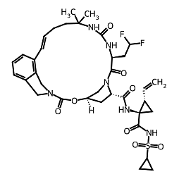 C=C[C@@H]1C[C@]1(NC(=O)[C@@H]1C[C@@H]2CN1C(=O)[C@H](CC(F)F)NC(=O)NC(C)(C)CC/C=C/c1cccc3c1CN(C3)C(=O)O2)C(=O)NS(=O)(=O)C1CC1